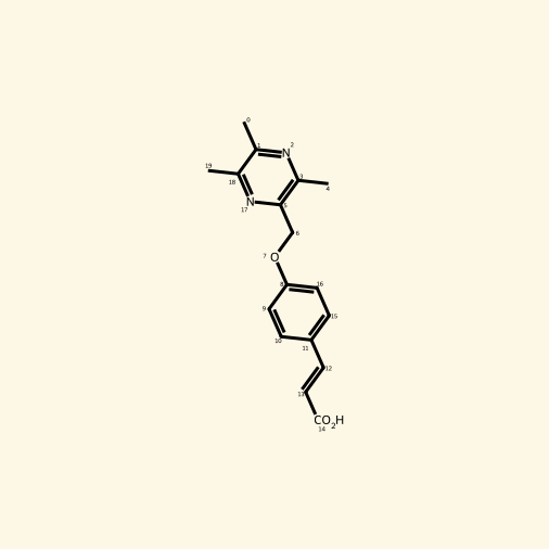 Cc1nc(C)c(COc2ccc(C=CC(=O)O)cc2)nc1C